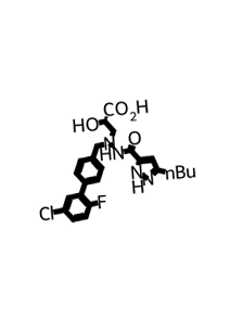 CCCCc1cc(C(=O)NN(Cc2ccc(-c3cc(Cl)ccc3F)cc2)C[C@@H](O)C(=O)O)[nH]n1